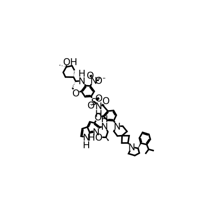 CC(C)c1ccccc1[C@H]1CCCN1C1CC2(CCN(c3ccc(C(=O)NS(=O)(=O)c4cc5c(c([N+](=O)[O-])c4)N[C@@H]([C@H]4CC[C@](C)(O)CC4)CO5)c(Oc4cc5cc[nH]c5nc4NC[C@@H](C)O)c3)CC2)C1